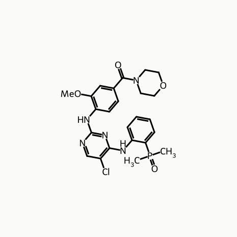 COc1cc(C(=O)N2CCOCC2)ccc1Nc1ncc(Cl)c(Nc2ccccc2P(C)(C)=O)n1